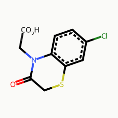 O=C(O)CN1C(=O)CSc2cc(Cl)ccc21